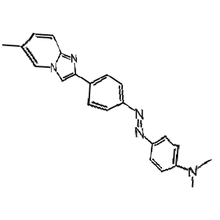 Cc1ccc2nc(-c3ccc(N=Nc4ccc(N(C)C)cc4)cc3)cn2c1